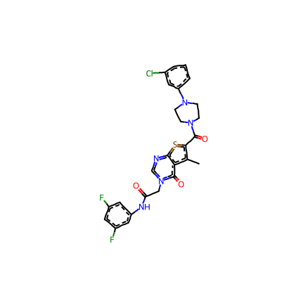 Cc1c(C(=O)N2CCN(c3cccc(Cl)c3)CC2)sc2ncn(CC(=O)Nc3cc(F)cc(F)c3)c(=O)c12